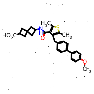 Cc1sc(C)c(C(=O)NC2CC3(C2)CC(C(=O)O)C3)c1Cc1ccc(-c2ccc(OC(F)(F)F)cc2)cc1